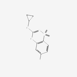 O=S1(=O)N=C(NC2CC2)Nc2cc(Cl)ccc21